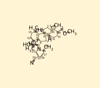 C=C[C@]12CC[C@@H]3C(CC[C@@]4(C)C3[C@H](C)CC[C@@H]4[C@@](C)(O)CN3C=C(C#N)C=CC3=C)[C@H]1CC[C@H](COC)C2